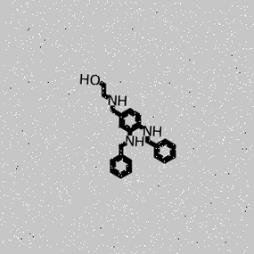 OCCNCc1ccc(NCc2ccccc2)c(NCc2ccccc2)c1